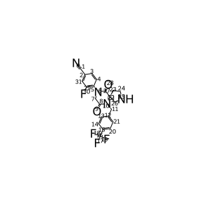 N#Cc1ccc(N2CC(=O)N(Cc3ccc(C(F)(F)F)cc3)[C@]3(CCNC3)C2=O)c(F)c1